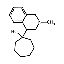 CN1Cc2ccccc2C(C2(O)CCCCCC2)C1